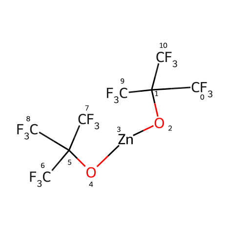 FC(F)(F)C([O][Zn][O]C(C(F)(F)F)(C(F)(F)F)C(F)(F)F)(C(F)(F)F)C(F)(F)F